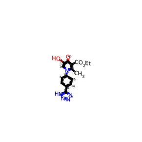 CCOC(=O)c1c(C)n(-c2ccc(-c3nnn[nH]3)cc2)cc(O)c1=O